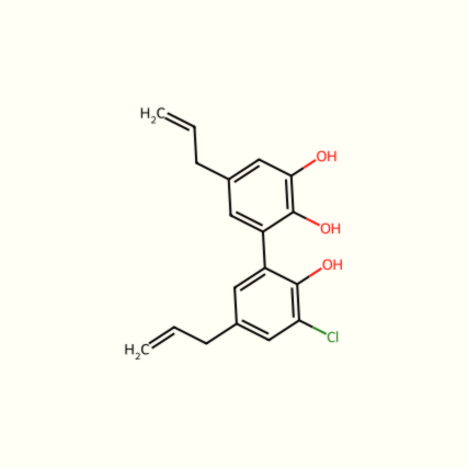 C=CCc1cc(O)c(O)c(-c2cc(CC=C)cc(Cl)c2O)c1